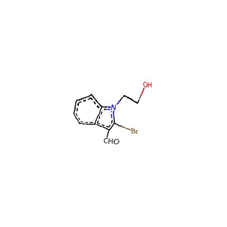 O=Cc1c(Br)n(CCO)c2ccccc12